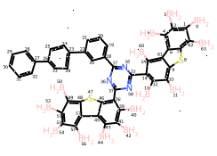 Bc1c(B)c(B)c2c(sc3c(B)c(B)c(-c4nc(-c5cccc(-c6ccc(-c7ccccc7)cc6)c5)nc(-c5c(B)c(B)c(B)c6c5sc5c(B)c(B)c(B)c(B)c56)n4)c(B)c32)c1B